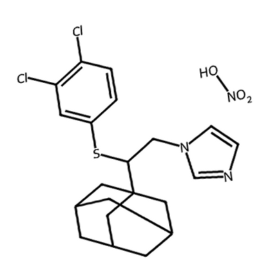 Clc1ccc(SC(Cn2ccnc2)C23CC4CC(CC(C4)C2)C3)cc1Cl.O=[N+]([O-])O